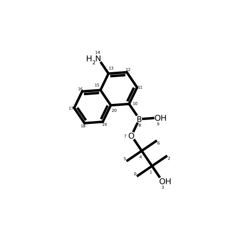 CC(C)(O)C(C)(C)OB(O)c1ccc(N)c2ccccc12